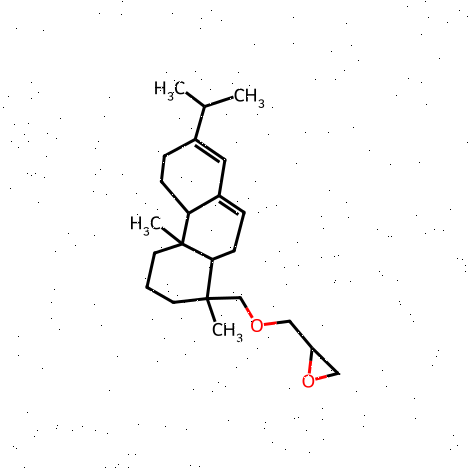 CC(C)C1=CC2=CCC3C(C)(COCC4CO4)CCCC3(C)C2CC1